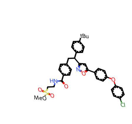 COS(=O)(=O)CCNC(=O)c1ccc(CC(c2ccc(C(C)(C)C)cc2)c2cc(-c3ccc(Oc4ccc(Cl)cc4)cc3)on2)cc1